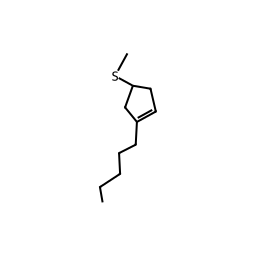 CCCCCC1=CCC(SC)C1